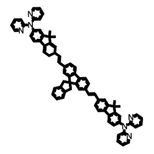 CC1(C)C2=CC(/C=C/c3ccc4c(c3)C3(Cc5ccccc5C3)c3cc(/C=C/c5ccc6c(c5)C(C)(C)c5cc(N(c7ccccn7)c7ccccn7)ccc5-6)ccc3-4)CC=C2c2ccc(N(c3ccccn3)c3ccccn3)cc21